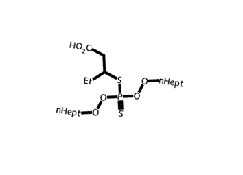 CCCCCCCOOP(=S)(OOCCCCCCC)SC(CC)CC(=O)O